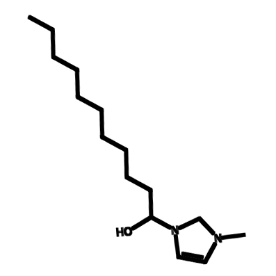 CCCCCCCCCCC(O)N1C=CN(C)C1